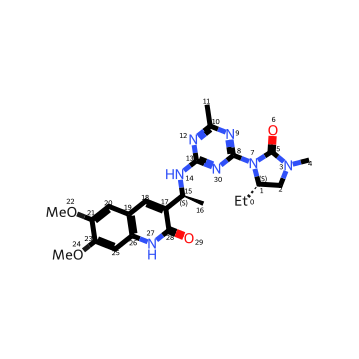 CC[C@H]1CN(C)C(=O)N1c1nc(C)nc(N[C@@H](C)c2cc3cc(OC)c(OC)cc3[nH]c2=O)n1